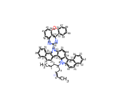 C=CCC(C/C=C\C)n1c2ccc3ccccc3c2c2ccc3c(c4ccc5ccccc5c4n3-c3nc4c5c(cccc5n3)Oc3ccccc3-4)c21